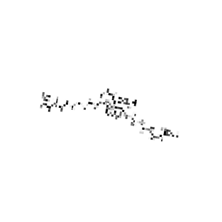 CCCCCCCC/C=C\CCCCCCCCC1CC=CC(CCCCCCCC/C=C\CCCCCCCC)(C(=O)O)C1C(=O)O